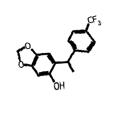 CC(c1ccc(C(F)(F)F)cc1)c1cc2c(cc1O)OCO2